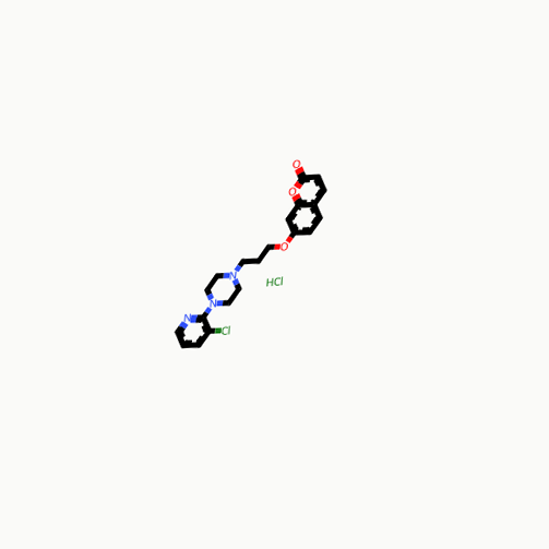 Cl.O=c1ccc2ccc(OCCCN3CCN(c4ncccc4Cl)CC3)cc2o1